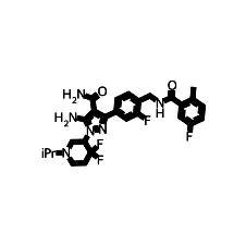 Cc1ccc(F)cc1C(=O)NCc1ccc(-c2nn(C3CN(C(C)C)CCC3(F)F)c(N)c2C(N)=O)cc1F